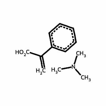 C=C(C(=O)O)c1ccccc1.CN(C)C